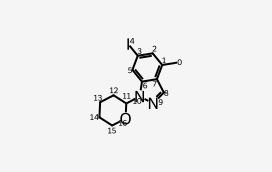 Cc1cc(I)cc2c1cnn2C1CCCCO1